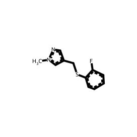 Cn1cc(CSc2ccccc2F)cn1